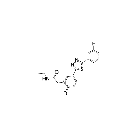 CCNC(=O)Cn1cc(-c2nnc(-c3cccc(F)c3)s2)ccc1=O